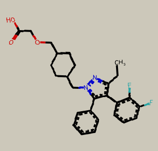 CCc1nn(CC2CCC(COCC(=O)O)CC2)c(-c2ccccc2)c1-c1cccc(F)c1F